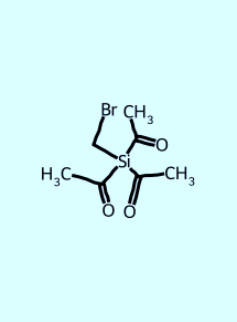 CC(=O)[Si](CBr)(C(C)=O)C(C)=O